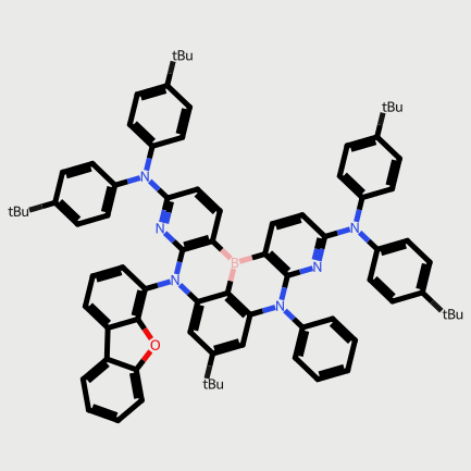 CC(C)(C)c1ccc(N(c2ccc(C(C)(C)C)cc2)c2ccc3c(n2)N(c2ccccc2)c2cc(C(C)(C)C)cc4c2B3c2ccc(N(c3ccc(C(C)(C)C)cc3)c3ccc(C(C)(C)C)cc3)nc2N4c2cccc3c2oc2ccccc23)cc1